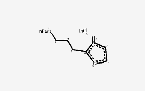 CCCCCCCCc1ncc[nH]1.Cl